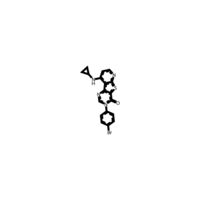 O=c1c2sc3nccc(NC4CC4)c3c2ncn1-c1ccc(Br)cc1